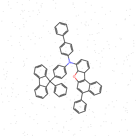 C1=CC2c3c(cc(-c4ccccc4)c4ccccc34)OC2C(N(c2ccc(-c3ccccc3)cc2)c2ccc(C3(c4ccccc4)c4ccccc4-c4ccccc43)cc2)=C1